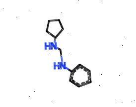 c1ccc(NCNC2CCCC2)cc1